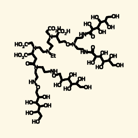 CCN(CCN(CC(=O)O)C(CCON(CCNC(=O)C(O)C(O)C(O)C(O)CO)CCNC(=O)C(O)C(O)C(O)C(O)CO)C(=O)O)CCN(CC(=O)O)C(CC(=O)N(CCNOCC(O)C(O)C(O)C(O)CO)CCNOCC(O)C(O)C(O)C(O)CO)C(=O)O